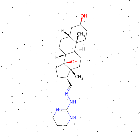 C[C@]12CC[C@H](O)C[C@H]1CC[C@@H]1[C@@H]2CC[C@]2(C)[C@@H](/C=N/NC3=NCCCN3)CC[C@]12O